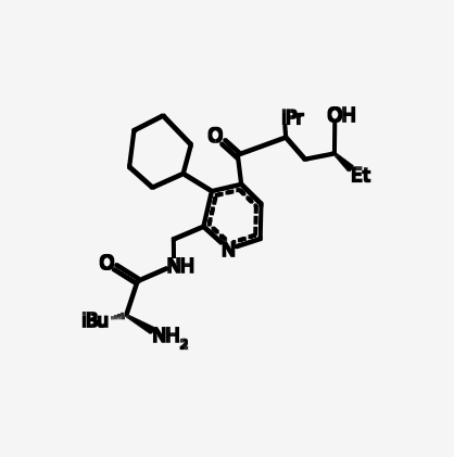 CC[C@H](O)CC(C(=O)c1ccnc(CNC(=O)[C@@H](N)[C@@H](C)CC)c1C1CCCCC1)C(C)C